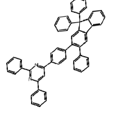 c1ccc(-c2cc(-c3ccc(-c4cc5c(cc4-c4ccccc4)-c4ccccc4C5(c4ccccc4)c4ccccc4)cc3)nc(-c3ccccc3)n2)cc1